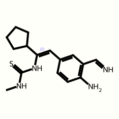 CNC(=S)N/C(=C\c1ccc(N)c(C=N)c1)C1CCCC1